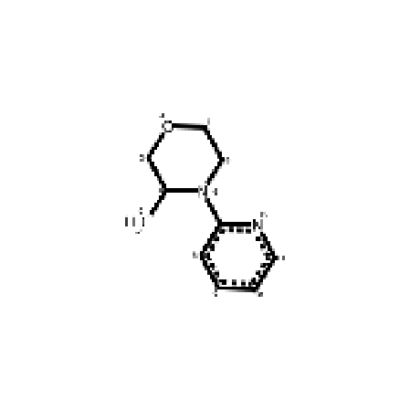 CC1COCCN1c1[c]cccn1